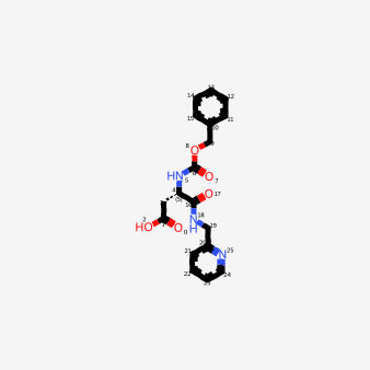 O=C(O)C[C@H](NC(=O)OCc1ccccc1)C(=O)NCc1ccccn1